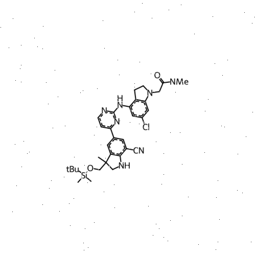 CNC(=O)CN1CCc2c(Nc3nccc(-c4cc(C#N)c5c(c4)C(C)(CO[Si](C)(C)C(C)(C)C)CN5)n3)cc(Cl)cc21